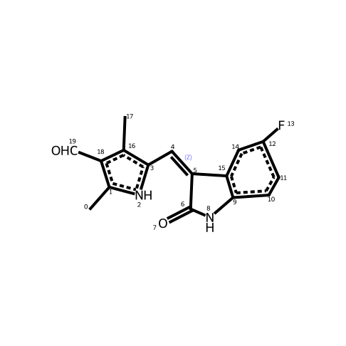 Cc1[nH]c(/C=C2\C(=O)Nc3ccc(F)cc32)c(C)c1C=O